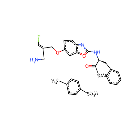 CNC(=O)[C@H](Cc1ccccc1)Nc1nc2ccc(OC/C(=C\F)CN)cc2o1.Cc1ccc(S(=O)(=O)O)cc1